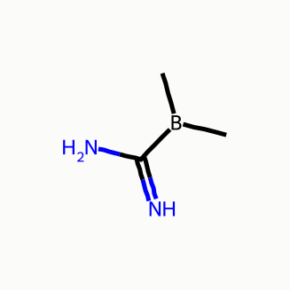 CB(C)C(=N)N